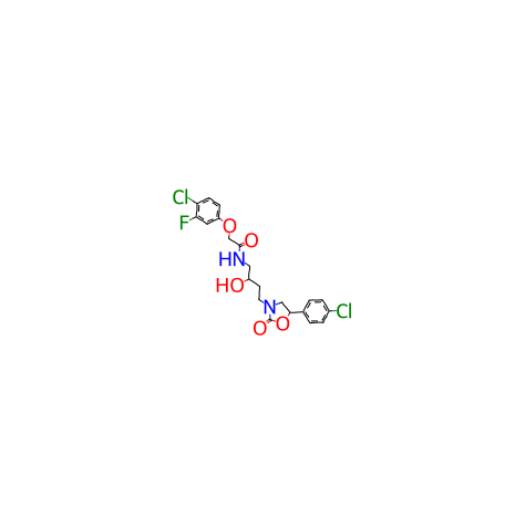 O=C(COc1ccc(Cl)c(F)c1)NCC(O)CCN1CC(c2ccc(Cl)cc2)OC1=O